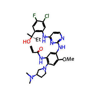 C=CC(=O)Nc1cc(Nc2nccc(Nc3cc(Cl)c(F)cc3[C@](C)(O)CC)n2)c(OC)cc1N1CC[C@@H](N(C)C)C1